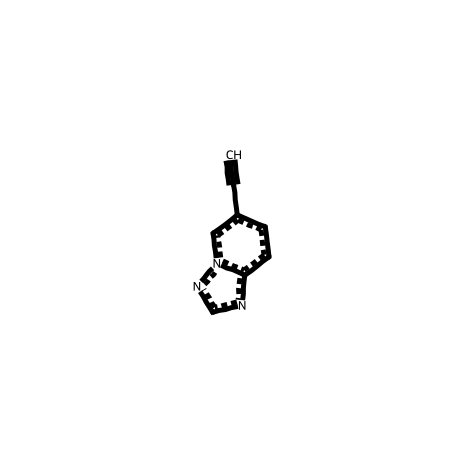 C#Cc1ccc2ncnn2c1